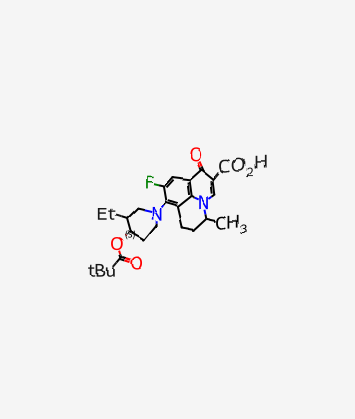 CCC1CN(c2c(F)cc3c(=O)c(C(=O)O)cn4c3c2CCC4C)CC[C@@H]1OC(=O)C(C)(C)C